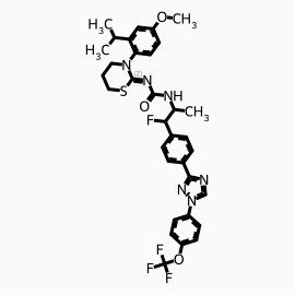 COc1ccc(N2CCCS/C2=N\C(=O)NC(C)C(F)c2ccc(-c3ncn(-c4ccc(OC(F)(F)F)cc4)n3)cc2)c(C(C)C)c1